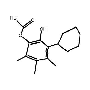 Cc1c(C)c(OC(=O)O)c(O)c(C2CCCCC2)c1C